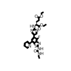 CCNC(=O)Nc1nc2c(F)c(-c3cnc(N[C@@H](CCC(=O)OCC)C(=O)OCC)nc3)cc(-c3ccccn3)c2s1